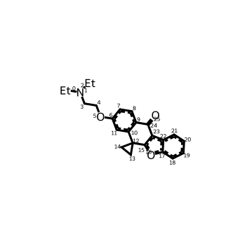 CCN(CC)CCOc1ccc2c(c1)C1(CC1)c1oc3ccccc3c1C2=O